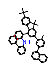 Cc1ccc(-c2cccc3ccccc23)cc1-c1cc(-c2ccccc2Nc2ccccc2-c2ccccc2)c2c(c1)C(C)(C)c1cc(C(C)(C)C)ccc1-2